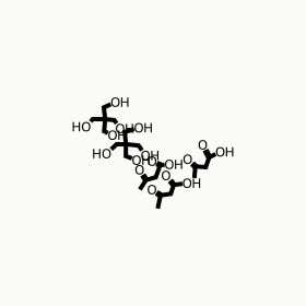 CC(=O)CC(=O)O.CC(=O)CC(=O)O.CC(=O)CC(=O)O.OCC(CO)(CO)CO.OCC(CO)(CO)CO